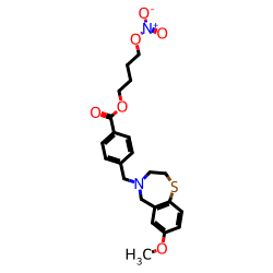 COc1ccc2c(c1)CN(Cc1ccc(C(=O)OCCCCO[N+](=O)[O-])cc1)CCS2